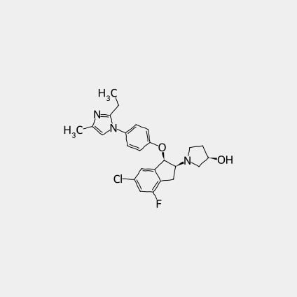 CCc1nc(C)cn1-c1ccc(O[C@@H]2c3cc(Cl)cc(F)c3C[C@@H]2N2CC[C@@H](O)C2)cc1